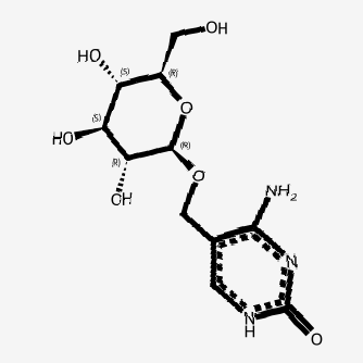 Nc1nc(=O)[nH]cc1CO[C@@H]1O[C@H](CO)[C@@H](O)[C@H](O)[C@H]1O